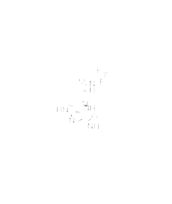 NC(=O)c1cnc2[nH]ccc2c1NN1CCC[C@H](C(=O)NCC(F)(F)F)CC1